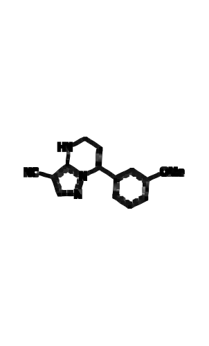 COc1cccc(C2=CCNc3c(C#N)cnn32)c1